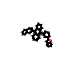 c1cc(-c2cc3ccccc3o2)cc(-c2c3ccccc3c(-c3ccc4ccccc4c3)c3ccccc23)c1